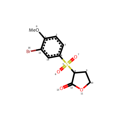 COc1ccc(S(=O)(=O)C2CCOC2=O)cc1Br